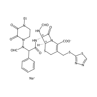 CCN1CCN(N(C=O)C(C(=O)N[C@]2(NC=O)C(=O)N3C(C(=O)[O-])=C(CSc4nncs4)CS[C@H]32)c2ccccc2)C(=O)C1=O.[Na+]